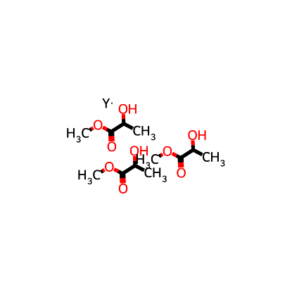 COC(=O)C(C)O.COC(=O)C(C)O.COC(=O)C(C)O.[Y]